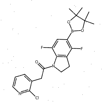 CC1(C)OB(c2cc(F)c3c(c2F)CCN3C(=O)Cc2cccnc2Cl)OC1(C)C